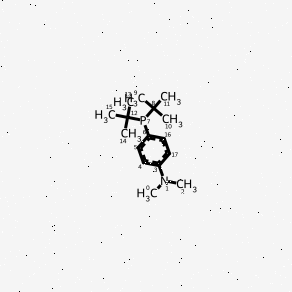 CN(C)c1ccc(P(C(C)(C)C)C(C)(C)C)cc1